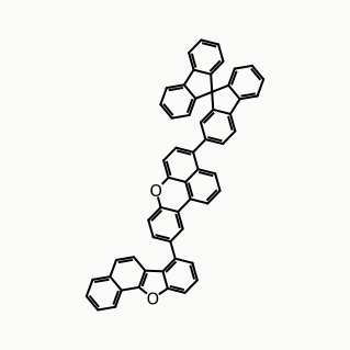 c1ccc2c(c1)-c1ccccc1C21c2ccccc2-c2ccc(-c3ccc4c5c(cccc35)-c3cc(-c5cccc6oc7c8ccccc8ccc7c56)ccc3O4)cc21